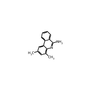 Cc1cc(C)c2nc(N)c3ccccc3c2c1